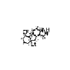 CCC12CCCC(C(F)(F)F)=C1c1ccc3[nH]ncc3c1C2